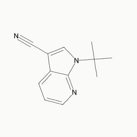 CC(C)(C)n1cc(C#N)c2cccnc21